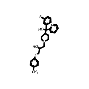 Cc1ccc(OCC(O)CN2CCC(C(O)(c3cccc(F)c3)c3ccccn3)CC2)cc1